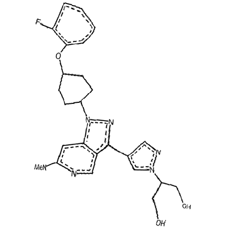 CNc1cc2c(cn1)c(-c1cnn(C(CO)CO)c1)nn2C1CCC(Oc2ccccc2F)CC1